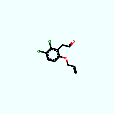 C=CCOc1ccc(Cl)c(Cl)c1CC=O